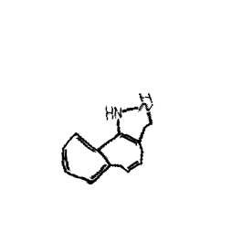 c1ccc2c3c(ccc2c1)CNN3